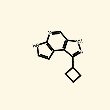 c1cc2c(ncc3[nH]nc(C4CCC4)c32)[nH]1